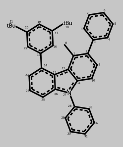 Cc1c(-c2ccccc2)ccc2c1c1c(-c3cc(C(C)(C)C)cc(C(C)(C)C)c3)cccc1n2-c1ccccc1